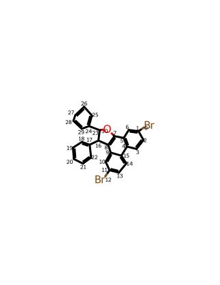 Brc1ccc2c(c1)c1c(c3cc(Br)ccc32)C(c2ccccc2)C(c2ccccc2)O1